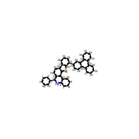 c1ccc(-c2nc3ccccc3c3c2ccc2c4cccc(-c5ccc6c7ccccc7c7ccccc7c6c5)c4sc23)cc1